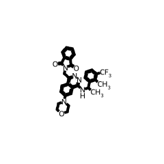 Cc1c(C(C)Nc2nnc(CN3C(=O)c4ccccc4C3=O)c3ccc(N4CCOCC4)cc23)cccc1C(F)(F)F